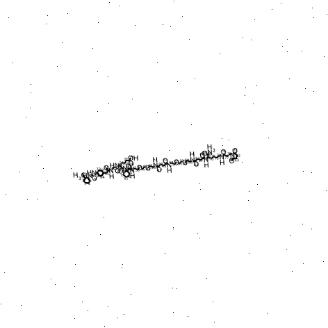 Cc1ccccc1NC(=O)Nc1ccc(CC(=O)NCC(=O)N[C@@H](CCCC(=O)O)C(=O)NC2(C(=O)NCCOCCOCCNC(=O)CCC(=O)NCCOCCOCCNC(=O)CCC(=O)N[C@@H](CCCCNC(=O)CCN3C(=O)C=CC3=O)C(N)=O)CCCCC2)cc1